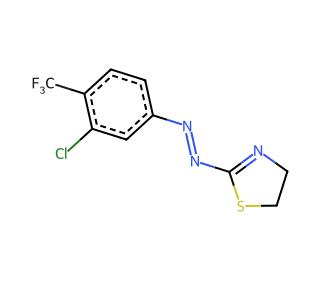 FC(F)(F)c1ccc(N=NC2=NCCS2)cc1Cl